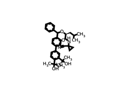 CC(C)C[C@H](OC(c1ccccc1)c1ccc(-c2ccc(C(C)(C)O)c(C(C)(C)O)c2)cc1)C(=O)NC1(C#N)CC1